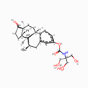 CCCC[C@@H]1Cc2cc(OC(=O)NC(CO)(CO)CO)ccc2[C@H]2CC[C@]3(C)C(=O)CC[C@H]3[C@H]12